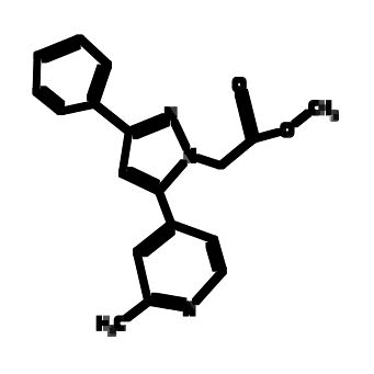 COC(=O)Cn1nc(-c2ccccc2)cc1-c1ccnc(C)c1